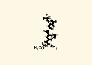 COc1ncc(-c2cc(C3C[C@@H]3c3cc4c(cn3)c(F)cn4CC(F)(F)F)c3nccn3n2)c(OC)n1